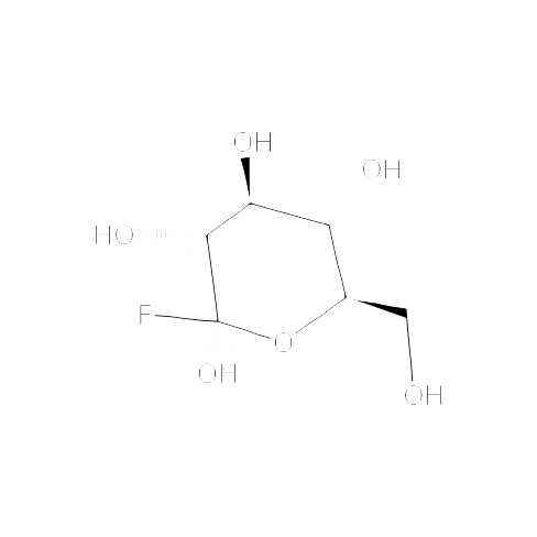 OC[C@H]1O[C@@](O)(F)[C@H](O)[C@@H](O)[C@@H]1O